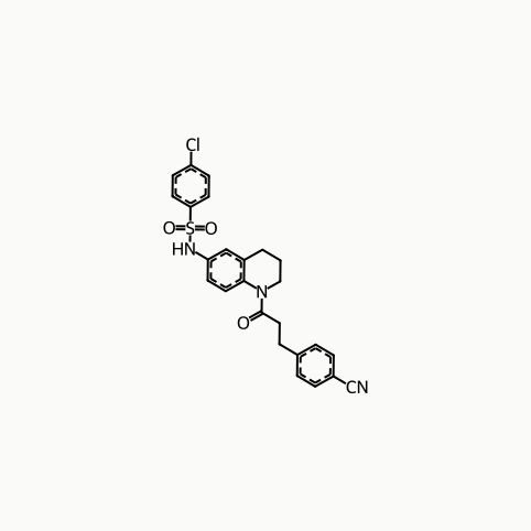 N#Cc1ccc(CCC(=O)N2CCCc3cc(NS(=O)(=O)c4ccc(Cl)cc4)ccc32)cc1